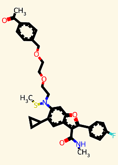 CNC(=O)c1c(-c2ccc(F)cc2)oc2cc(N(CCOCCOCc3ccc(C(C)=O)cc3)SC)c(C3CC3)cc12